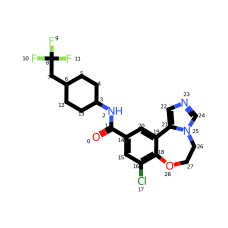 O=C(NC1CCC(CC(F)(F)F)CC1)c1cc(Cl)c2c(c1)-c1cncn1CCO2